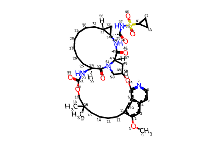 COc1cc2ccnc3c2cc1CCCCC(C)(C)COC(=O)N[C@H]1CCCCCCC[C@@H]2C[C@@]2(C(=O)NS(=O)(=O)C2CC2)NC(=O)[C@@H]2C[C@H](CN2C1=O)O3